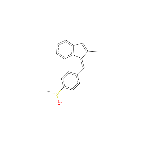 CC1=Cc2ccccc2/C1=C\c1ccc([S@@+](C)[O-])cc1